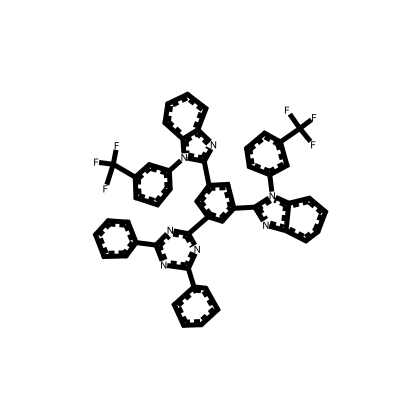 FC(F)(F)c1cccc(-n2c(-c3cc(-c4nc(-c5ccccc5)nc(-c5ccccc5)n4)cc(-c4nc5ccccc5n4-c4cccc(C(F)(F)F)c4)c3)nc3ccccc32)c1